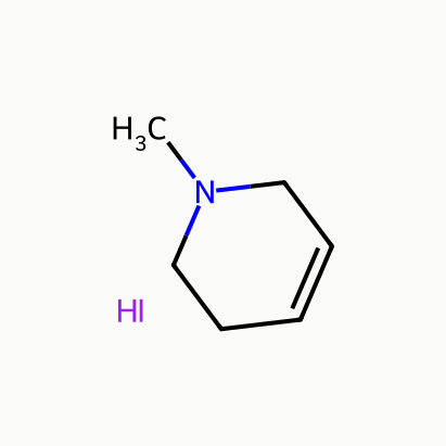 CN1CC=CCC1.I